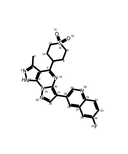 Cc1n[nH]c2c1c(C1CCS(=O)(=O)CC1)nc1c(-c3cnc4ccc(F)cc4c3)cnn12